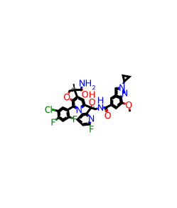 COc1cc(C(=O)NC[C@@](O)(c2cccc(F)n2)c2cc3c(c(-c4cc(Cl)c(F)cc4F)n2)OC[C@]3(C)C(N)=O)cc2cn(C3CC3)nc12